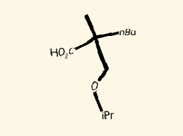 CCCCC(C)(COC(C)C)C(=O)O